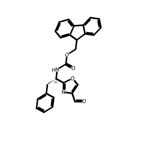 O=Cc1coc([C@H](Cc2ccccc2)NC(=O)OCC2c3ccccc3-c3ccccc32)n1